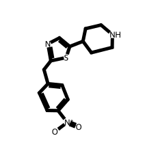 O=[N+]([O-])c1ccc(Cc2ncc(C3CCNCC3)s2)cc1